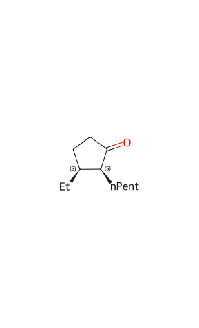 CCCCC[C@@H]1C(=O)CC[C@@H]1CC